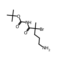 CC(C)(C)OC(=O)NC(=O)C(C)(Br)CCCN